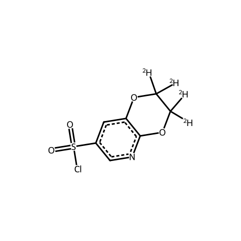 [2H]C1([2H])Oc2cc(S(=O)(=O)Cl)cnc2OC1([2H])[2H]